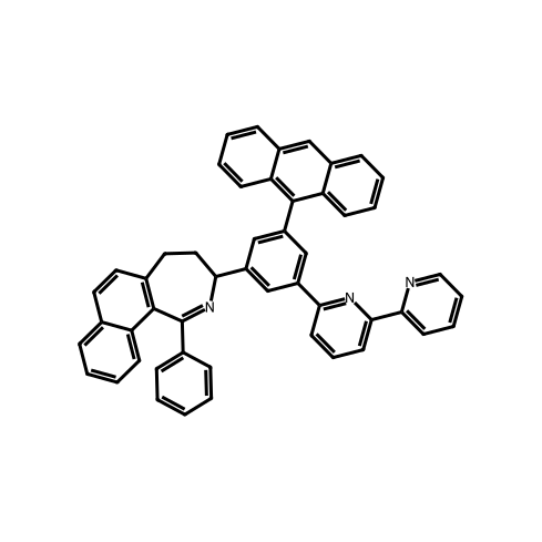 c1ccc(C2=NC(c3cc(-c4cccc(-c5ccccn5)n4)cc(-c4c5ccccc5cc5ccccc45)c3)CCc3ccc4ccccc4c32)cc1